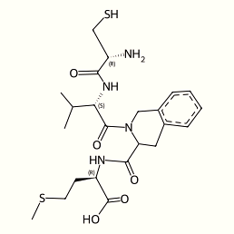 CSCC[C@@H](NC(=O)C1Cc2ccccc2CN1C(=O)[C@@H](NC(=O)[C@@H](N)CS)C(C)C)C(=O)O